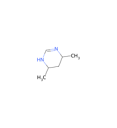 CC1CC(C)NC=N1